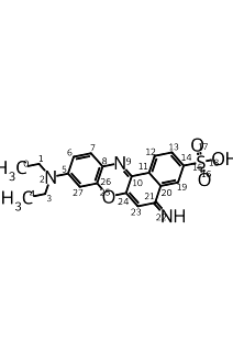 CCN(CC)c1ccc2nc3c4ccc(S(=O)(=O)O)cc4c(=N)cc-3oc2c1